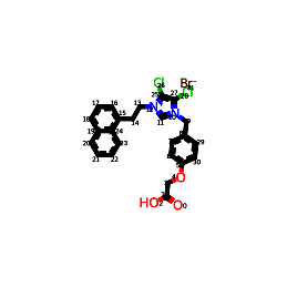 O=C(O)COc1ccc(Cn2c[n+](CCc3cccc4ccccc34)c(Cl)c2Cl)cc1.[Br-]